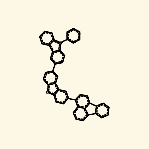 c1ccc(-n2c3ccccc3c3cc(-c4ccc5oc6ccc(-c7ccc8c9c(cccc79)-c7ccccc7-8)cc6c5c4)ccc32)cc1